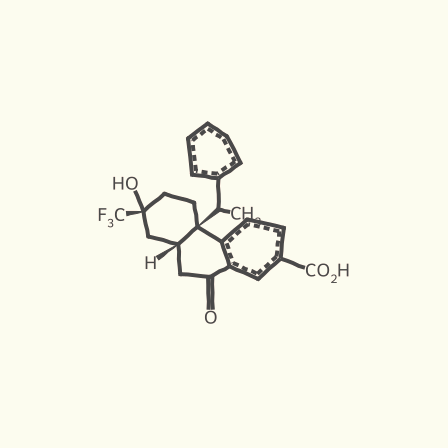 CC(c1ccccc1)[C@]12CC[C@](O)(C(F)(F)F)C[C@H]1CC(=O)c1cc(C(=O)O)ccc12